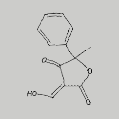 CC1(c2ccccc2)OC(=O)/C(=C/O)C1=O